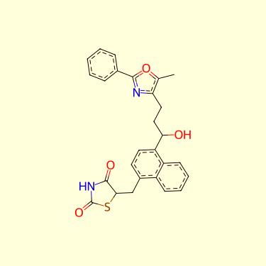 Cc1oc(-c2ccccc2)nc1CCC(O)c1ccc(CC2SC(=O)NC2=O)c2ccccc12